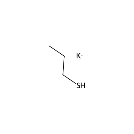 CCCS.[K]